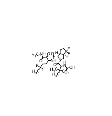 CNC(=O)C(=O)C(CCC(C)(F)F)NC(=O)[C@@H]1[C@H]2CCC(F)(F)[C@H]2CN1C(=O)C(NC(=O)O)C(C)(C)C